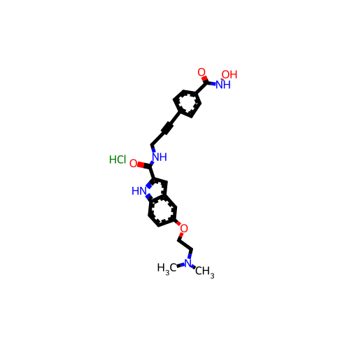 CN(C)CCOc1ccc2[nH]c(C(=O)NCC#Cc3ccc(C(=O)NO)cc3)cc2c1.Cl